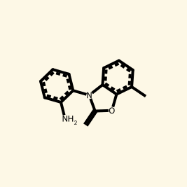 C=C1Oc2c(C)cccc2N1c1ccccc1N